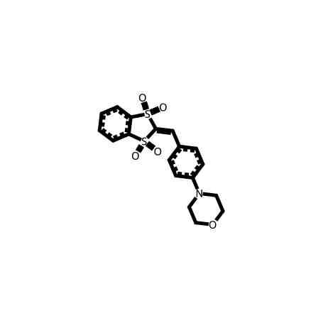 O=S1(=O)C(=Cc2ccc(N3CCOCC3)cc2)S(=O)(=O)c2ccccc21